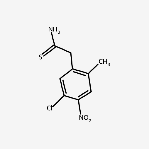 Cc1cc([N+](=O)[O-])c(Cl)cc1CC(N)=S